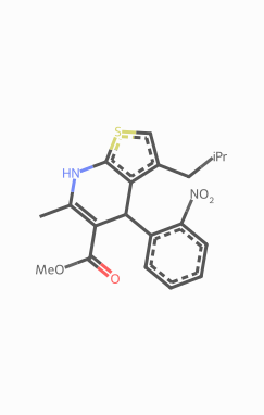 COC(=O)C1=C(C)Nc2scc(CC(C)C)c2C1c1ccccc1[N+](=O)[O-]